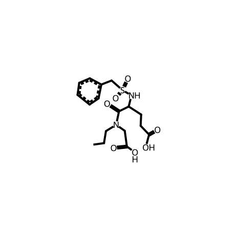 CCCN(CC(=O)O)C(=O)C(CCC(=O)O)NS(=O)(=O)Cc1ccccc1